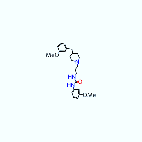 COc1cccc(CC2CCN(CCCNC(=O)Nc3cccc(OC)c3)CC2)c1